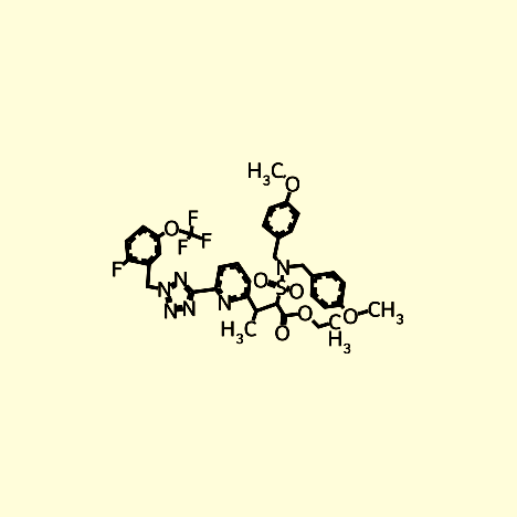 CCOC(=O)C(C(C)c1cccc(-c2nnn(Cc3cc(OC(F)(F)F)ccc3F)n2)n1)S(=O)(=O)N(Cc1ccc(OC)cc1)Cc1ccc(OC)cc1